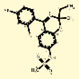 CCC1(C)N=C(c2ccc(F)cc2F)c2ccc(NS(C)(=O)=O)cc2O1